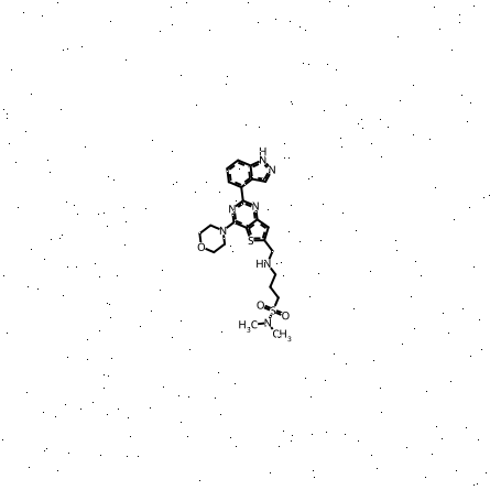 CN(C)S(=O)(=O)CCCNCc1cc2nc(-c3cccc4[nH]ncc34)nc(N3CCOCC3)c2s1